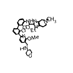 CCn1c(C(=O)Nc2cccc(-c3cccc(-c4ccc(CNC5CCOCC5)c(OC)n4)c3Cl)c2Cl)nc2c1CCN(C)C2